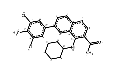 CC(=O)c1cnc2ccc(-c3cc(Cl)c(C)c(Cl)c3)cc2c1NC1CCCCC1